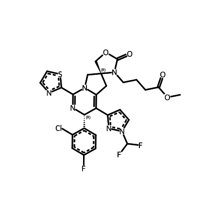 COC(=O)CCCN1C(=O)OC[C@]12CC1=C(c3ccn(C(F)F)n3)[C@H](c3ccc(F)cc3Cl)N=C(c3nccs3)N1C2